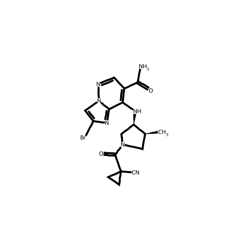 C[C@H]1CN(C(=O)C2(C#N)CC2)C[C@H]1Nc1c(C(N)=O)cnn2cc(Br)nc12